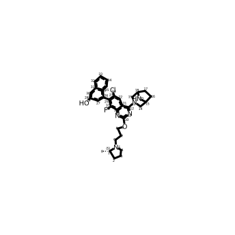 C[C@H]1CCCN1CCCOc1nc(N2CC3CCC(C2)N3)c2cc(Cl)c(-c3cc(O)cc4ccccc34)c(F)c2n1